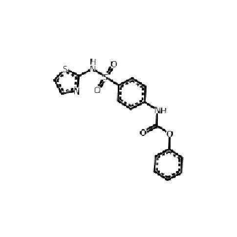 O=C(Nc1ccc(S(=O)(=O)Nc2nccs2)cc1)Oc1ccccc1